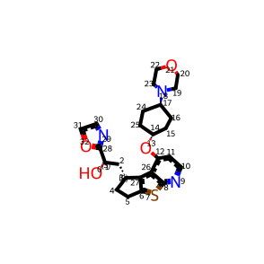 O[C@@H](C[C@H]1CCc2sc3nccc(O[C@H]4CC[C@H](N5CCOCC5)CC4)c3c21)c1ncco1